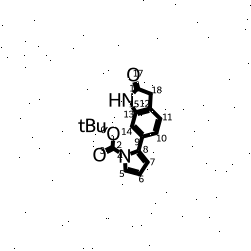 CC(C)(C)OC(=O)n1cccc1-c1ccc2c(c1)NC(=O)C2